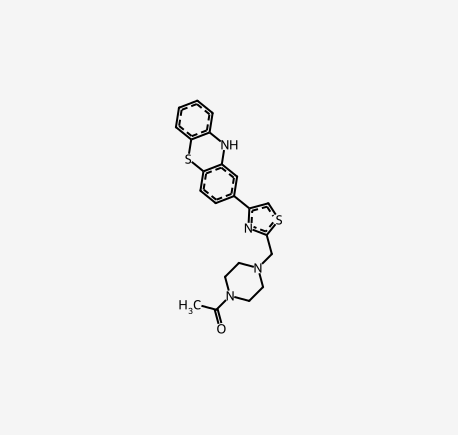 CC(=O)N1CCN(Cc2nc(-c3ccc4c(c3)Nc3ccccc3S4)cs2)CC1